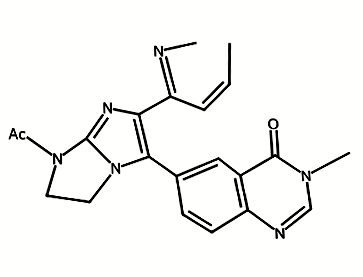 C/C=C\C(=N/C)c1nc2n(c1-c1ccc3ncn(C)c(=O)c3c1)CCN2C(C)=O